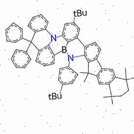 CC(C)(C)c1ccc(N2B3c4cccc5c4N(c4ccccc4C5(c4ccccc4)c4ccccc4)c4cc(C(C)(C)C)cc(c43)-c3ccc4c(c32)C(C)(C)c2cc3c(cc2-4)C(C)(C)CCC3(C)C)cc1